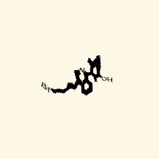 Cc1ccc(O)c(C)c1-c1ncc(CCCCBr)c2ccccc12